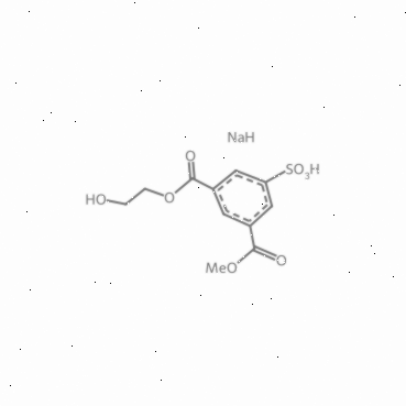 COC(=O)c1cc(C(=O)OCCO)cc(S(=O)(=O)O)c1.[NaH]